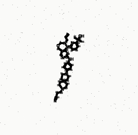 C=CCN1COCc2cnc(Nc3ccc(N4CCC5(CCN(CCC#N)CC5)CC4)cc3)nc2N1c1cccc(C(C)(C)O)n1